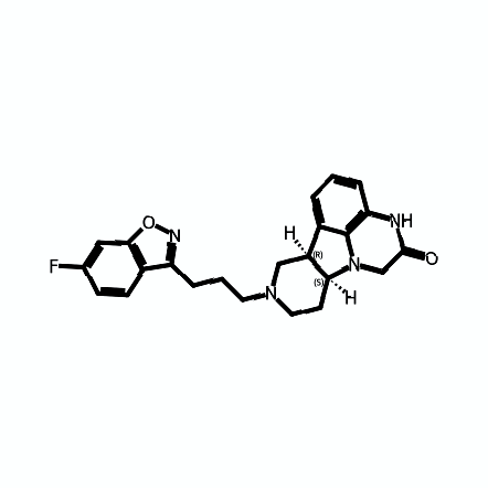 O=C1CN2c3c(cccc3[C@@H]3CN(CCCc4noc5cc(F)ccc45)CC[C@@H]32)N1